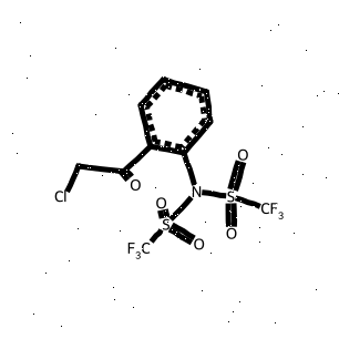 O=C(CCl)c1ccccc1N(S(=O)(=O)C(F)(F)F)S(=O)(=O)C(F)(F)F